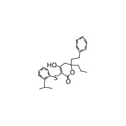 CCCC1(CCc2ccccc2)CC(O)=C(Sc2ccccc2C(C)C)C(=O)O1